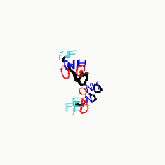 O=C(NCC(F)F)c1cc2cc(NC(=O)[C@@H]3[C@H](C4CCCCC4)CCN3OC(=O)C(F)(F)F)ccc2o1